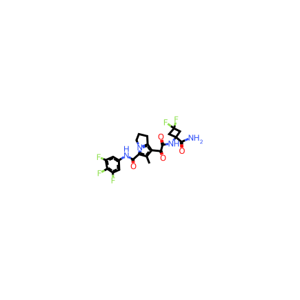 Cc1c(C(=O)C(=O)NC2(C(N)=O)CC(F)(F)C2)c2n(c1C(=O)Nc1cc(F)c(F)c(F)c1)CCC2